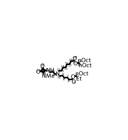 CCCCCCCCC(CC)OC(=O)CCCCCN(CCCCCCCC(=O)OC(CCCCCCCC)CCCCCCCC)CCCNc1c(NC)c(=O)c1=O